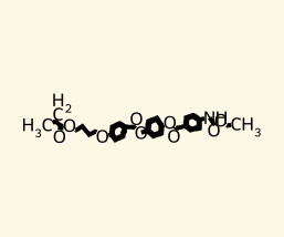 C=C(C)C(=O)OCCCCOc1ccc(C(=O)Oc2ccc(OC(=O)c3ccc(NC(=O)OCC)cc3)cc2)cc1